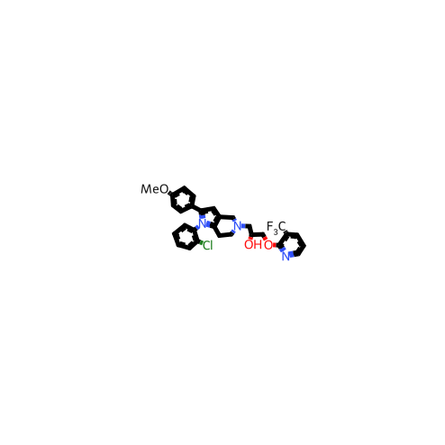 COc1ccc(-c2cc3c(n2-c2ccccc2Cl)CCN(CC(O)COc2ncccc2C(F)(F)F)C3)cc1